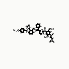 COc1ccc(COc2cccc(Cn3cc(-c4ccnc(Nc5cc([N+](=O)[O-])c(N(C)CCN(C)C)cc5OC)n4)c4ccccc43)c2C2OCCO2)cc1